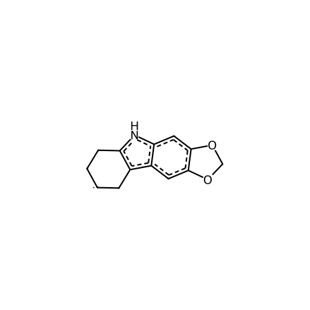 [CH]1CCc2[nH]c3cc4c(cc3c2C1)OCO4